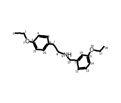 CCOc1ccc(CCNCc2cccc(OCC)c2)cc1